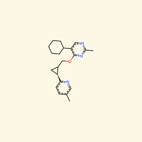 Cc1ccc([C@H]2CC2COc2nc(C)ncc2C2CCCCC2)nc1